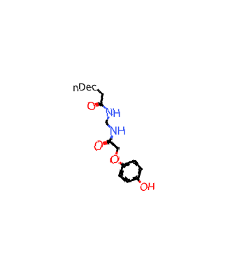 CCCCCCCCCCCC(=O)NCNC(=O)COc1ccc(O)cc1